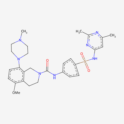 COc1ccc(N2CCN(C)CC2)c2c1CCN(C(=O)Nc1ccc(S(=O)(=O)Nc3cc(C)nc(C)n3)cc1)C2